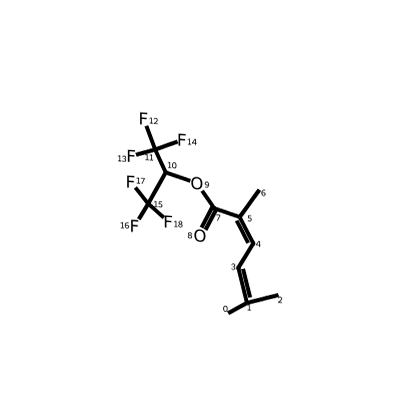 CC(C)=CC=C(C)C(=O)OC(C(F)(F)F)C(F)(F)F